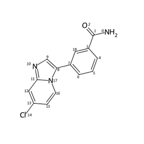 NC(=O)c1cccc(-c2cnc3cc(Cl)ccn23)c1